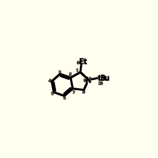 CCC1c2ccccc2CN1C(C)(C)C